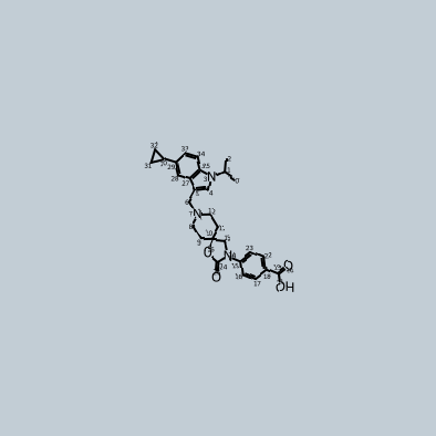 CC(C)n1cc(CN2CCC3(CC2)CN(c2ccc(C(=O)O)cc2)C(=O)O3)c2cc(C3CC3)ccc21